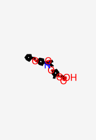 Cc1cc(OCc2nc(-c3ccc(OCc4ccccc4)cc3)oc2C)ccc1OCC(=O)O